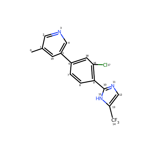 Cc1[c]ncc(-c2ccc(-c3ncc(C(F)(F)F)[nH]3)c(Cl)c2)c1